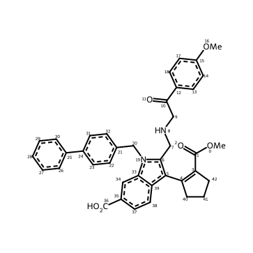 COC(=O)C1=C(c2c(CNCC(=O)c3ccc(OC)cc3)n(Cc3ccc(-c4ccccc4)cc3)c3cc(C(=O)O)ccc23)CCC1